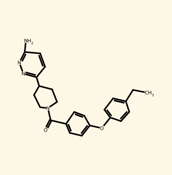 CCc1ccc(Oc2ccc(C(=O)N3CCC(c4ccc(N)nn4)CC3)cc2)cc1